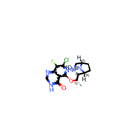 C[C@H](Oc1nc(Cl)c(F)c2nc[nH]c(=O)c12)[C@@H]1NC[C@@H]2CC[C@H]1N2C(=O)O